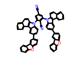 N#Cc1cc(-n2c3ccc(-c4ccc5oc6ccccc6c5c4)cc3c3c4ccccc4ccc32)c(C#N)c(-n2c3ccc(-c4ccc5oc6ccccc6c5c4)cc3c3c4ccccc4ccc32)c1